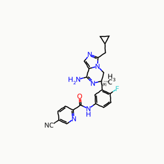 C[C@@]1(c2cc(NC(=O)c3ccc(C#N)cn3)ccc2F)Cn2c(cnc2CC2CC2)C(N)=N1